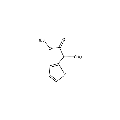 CC(C)(C)OC(=O)C(C=O)c1cccs1